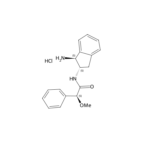 CO[C@H](C(=O)N[C@H]1Cc2ccccc2[C@@H]1N)c1ccccc1.Cl